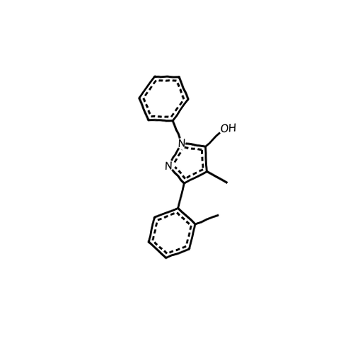 Cc1ccccc1-c1nn(-c2ccccc2)c(O)c1C